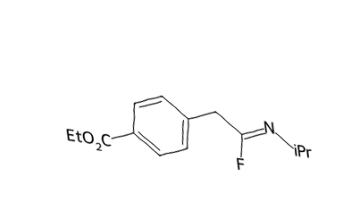 CCOC(=O)c1ccc(CC(F)=NC(C)C)cc1